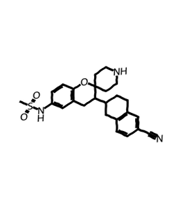 CS(=O)(=O)Nc1ccc2c(c1)CC(C1CCc3cc(C#N)ccc3C1)C1(CCNCC1)O2